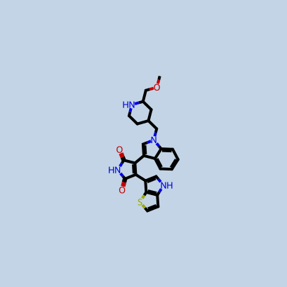 COCC1CC(Cn2cc(C3=C(c4c[nH]c5ccsc45)C(=O)NC3=O)c3ccccc32)CCN1